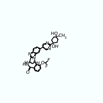 C[C@]1(O)CC[C@](O)(c2ncc(-c3ccc4nc5n(c4c3)[C@@H]3C[C@H]5NC(=O)c4cccc(OC(F)F)c43)cn2)CC1